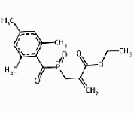 C=C(C[PH](=O)C(=O)c1c(C)cc(C)cc1C)C(=O)OCC